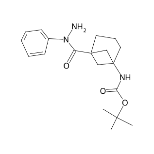 CC(C)(C)OC(=O)NC12CCCC(C(=O)N(N)c3ccccc3)(C1)C2